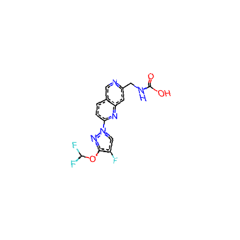 O=C(O)NCc1cc2nc(-n3cc(F)c(OC(F)F)n3)ccc2cn1